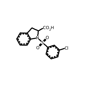 O=C(O)C1Cc2ccccc2N1S(=O)(=O)c1cccc(Cl)c1